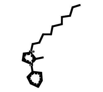 CCCCCCCCCC[n+]1ccn(-c2ccccc2)c1C